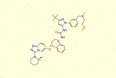 COCCN(C)Cc1cccc(-n2nc(C(C)(C)C)cc2NC(=O)N[C@H]2CC[C@@H](Oc3ccc4nnc(N5CCCC[C@@H]5C)n4c3)c3ccccc32)c1